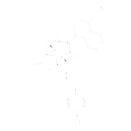 Cc1cc(OCC[C@]23CC(O)[C@](C)(O2)[C@@H]2C(=O)N(c4ccc(C#N)c5ccccc45)C(=O)[C@@H]23)ccc1Cl